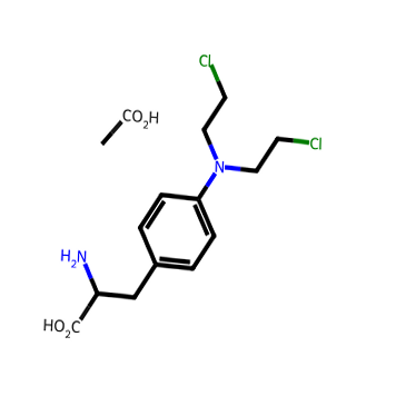 CC(=O)O.NC(Cc1ccc(N(CCCl)CCCl)cc1)C(=O)O